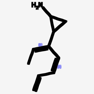 C=C/C=C\C(=C/C)C1CC1N